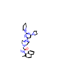 Cc1ccc2ccccc2c1NC(=O)CN1CCN(c2cc(N3CCCC3)nc(N3CCCC3)n2)CC1